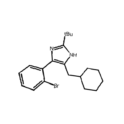 CC(C)(C)c1nc(-c2ccccc2Br)c(CC2CCCCC2)[nH]1